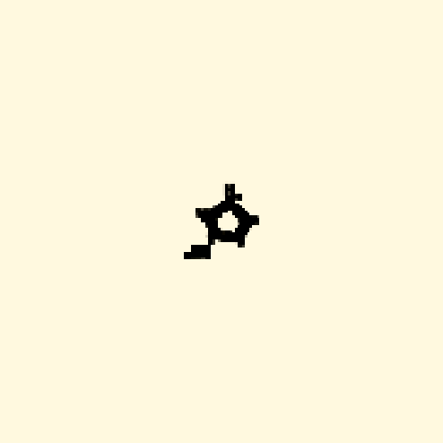 [KH].[c]1cc[nH]n1